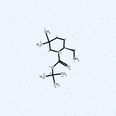 CC1(C)CC[C@@H](CN)N(C(=O)OC(C)(C)C)C1